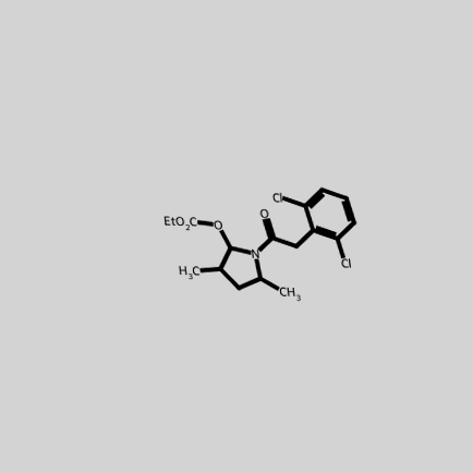 CCOC(=O)OC1C(C)CC(C)N1C(=O)Cc1c(Cl)cccc1Cl